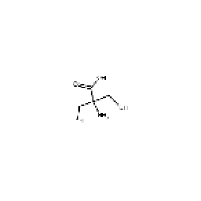 CCC(N)(CO)C(=O)O